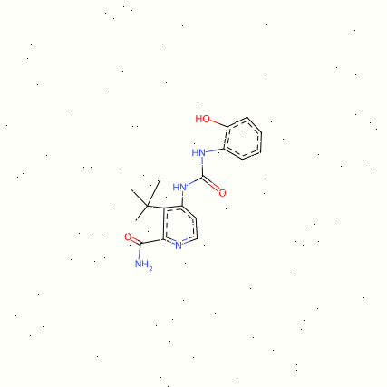 CC(C)(C)c1c(NC(=O)Nc2ccccc2O)ccnc1C(N)=O